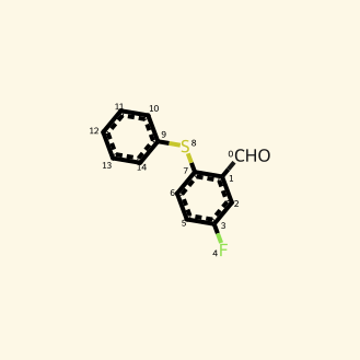 O=Cc1cc(F)ccc1Sc1ccccc1